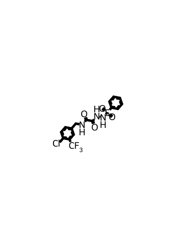 O=C(NCc1ccc(Cl)c(C(F)(F)F)c1)C(=O)NNS(=O)(=O)c1ccccc1